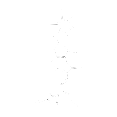 CON=C(C(=O)NC1C(=O)N2C(C(=O)O)=C(C=CSc3n[nH]c(=O)c(=O)n3C)CSC12)c1csc(N)n1